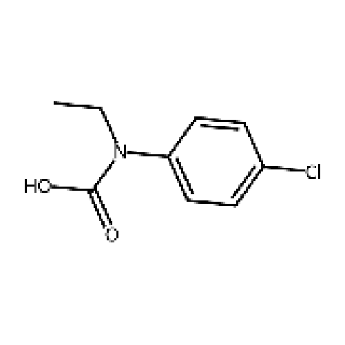 CCN(C(=O)O)c1ccc(Cl)cc1